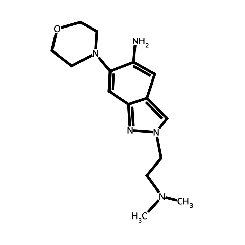 CN(C)CCn1cc2cc(N)c(N3CCOCC3)cc2n1